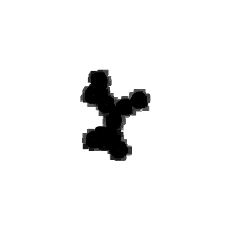 c1ccc(-c2ccc(N(c3ccc(-c4sc(-c5ccccc5)c5c4Oc4ccccc4O5)cc3)c3ccc(-c4cccc5c4sc4ccccc45)cc3)cc2)cc1